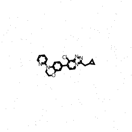 Clc1c(-c2ccc3c(c2)OCCN3c2ccccn2)ccn2c(CC3CC3)nnc12